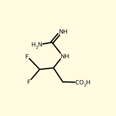 N=C(N)NC(CC(=O)O)C(F)F